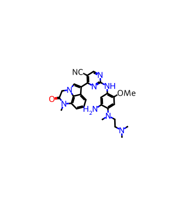 COc1cc(N(C)CCN(C)C)c(N)cc1Nc1ncc(C#N)c(-c2cn3c4c(cccc24)N(C)C(=O)C3)n1